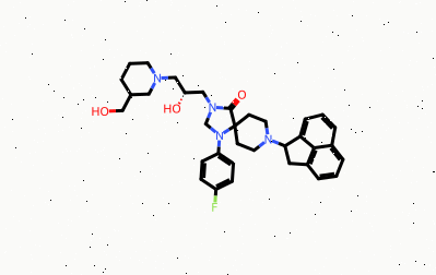 O=C1N(C[C@H](O)CN2CCCC(CO)C2)CN(c2ccc(F)cc2)C12CCN(C1Cc3cccc4cccc1c34)CC2